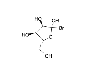 OC[C@H]1O[C@](O)(Br)[C@H](O)[C@@H]1O